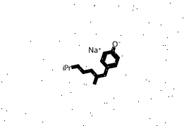 CC(C)CCCC(C)Cc1ccc([O-])cc1.[Na+]